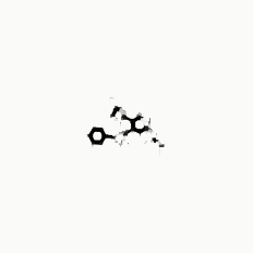 CCNC(=O)Nc1cc(-c2nnc(-c3ccccc3)o2)c(-c2ncc(C(=O)O)s2)cn1